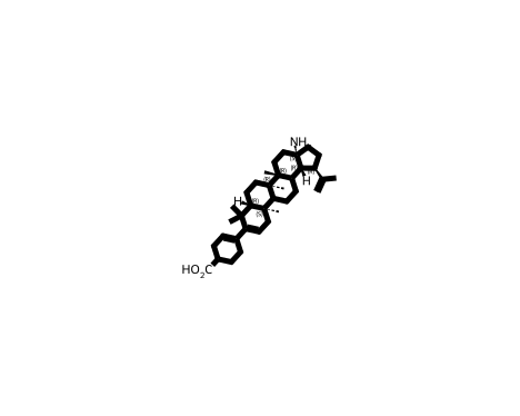 C=C(C)[C@@H]1CC[C@]2(N)CC[C@]3(C)C(CCC4[C@@]5(C)CC=C(C6=CCC(C(=O)O)CC6)C(C)(C)[C@@H]5CC[C@]43C)[C@@H]12